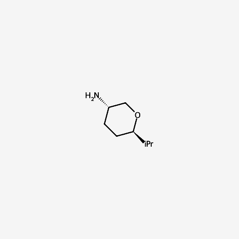 CC(C)[C@H]1CC[C@H](N)CO1